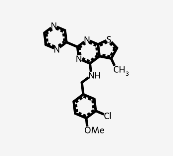 COc1ccc(CNc2nc(-c3cnccn3)nc3scc(C)c23)cc1Cl